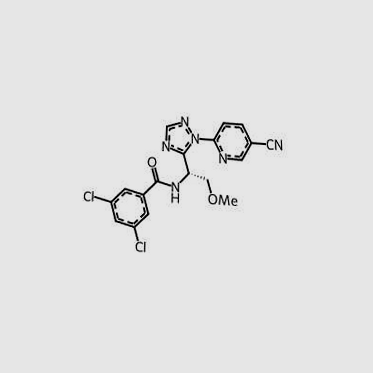 COC[C@H](NC(=O)c1cc(Cl)cc(Cl)c1)c1ncnn1-c1ccc(C#N)cn1